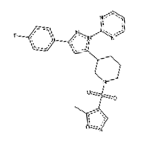 Cc1oncc1S(=O)(=O)N1CCCC(c2cc(-c3ccc(F)cc3)nn2-c2ncccn2)C1